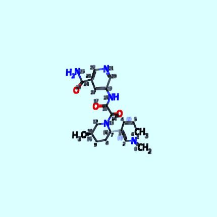 C=N/C=C(\C=C/C)[C@@H]1CC[C@@H](C)CN1C(=O)C(=O)Nc1cncc(C(N)=O)c1